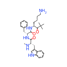 CN[C@@H](Cc1c[nH]c2ccccc12)C(=O)N[C@H](Cc1ccccc1)C(=O)N[C@@H](CCCCN)C(=O)C(C)(C)C